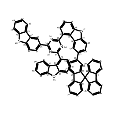 c1ccc2c(c1)-c1ccccc1C21c2ccccc2-c2ccc(-c3ccc4oc5cccc(-c6nc(-c7ccc8sc9ccccc9c8c7)nc(-c7cccc8oc9ccccc9c78)n6)c5c4c3)cc21